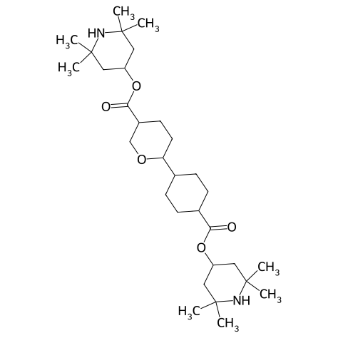 CC1(C)CC(OC(=O)C2CCC(C3CCC(C(=O)OC4CC(C)(C)NC(C)(C)C4)CO3)CC2)CC(C)(C)N1